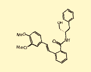 COc1ccc(C=Cc2ccccc2C(=O)N[C@H](CO)Cc2ccccc2)cc1OC